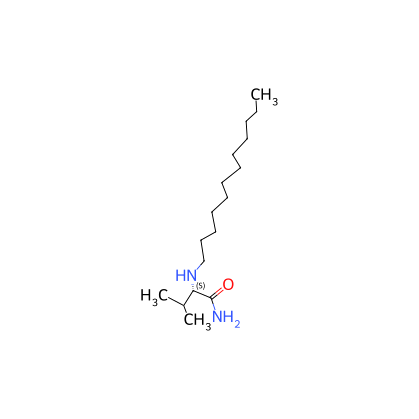 CCCCCCCCCCCCN[C@H](C(N)=O)C(C)C